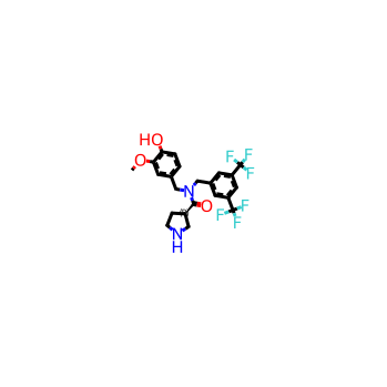 COc1cc(CN(Cc2cc(C(F)(F)F)cc(C(F)(F)F)c2)C(=O)[C@@H]2CCNC2)ccc1O